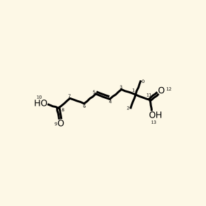 CC(C)(CC=CCCC(=O)O)C(=O)O